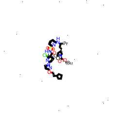 CC(C)C(CC[C@H]1CN(C(=O)OC(C)(C)C)C(C)(C)C1)Nc1cccc(S(=O)(=O)NC(=O)c2ccc(-n3ccc(OCCC4CCCC4)n3)nc2Cl)n1